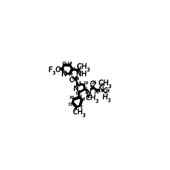 Cc1ccc(C2=NN(C(=O)N[C@H](C)c3ccc(C(F)(F)F)nc3)CC2N(C)C(=O)CN(C)C)cc1